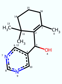 CC1=C(C(O)c2cncnc2)C(C)(C)CCC1